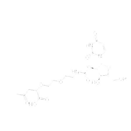 CC(=O)CC(OCCOCCNC(=O)O[C@@H]1[C@H](O)[C@@H](CO)O[C@H]1n1ccc(=O)[nH]c1=O)C(=O)O